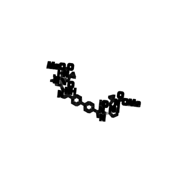 COC(=O)NC1(C(=O)N2CCC[C@@H]2c2ncc(-c3ccc(-c4ccc(-c5cnc([C@H]6C[Si](C)(C)CN6C(=O)C6(NC(=O)OC)CC6)[nH]5)cc4)cc3)[nH]2)CC1